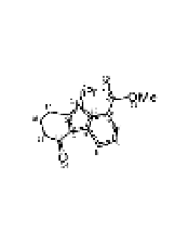 CCCn1c2c(c3cccc(C(=O)OC)c31)C(=O)CCC2